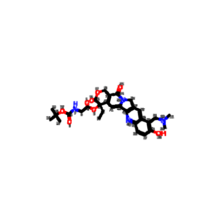 CC[C@@]1(OC(=O)CNC(=O)OC(C)(C)C)C(=O)OCc2c1cc1n(c2=O)Cc2cc3c(CN(C)C)c(O)ccc3nc2-1